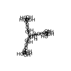 CC(COCCC(=O)NCCOCCOCCO[C@H]1OC(CO)[C@@H](O)C(O)C1O)(COCCC(=O)NCCOCCOCCO[C@H]1OC(CO)[C@@H](O)C(O)C1O)COCCC(=O)NCCOCCOCCO[C@H]1OC(CO)[C@@H](O)C(O)C1O